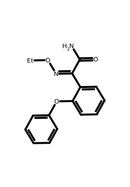 CCON=C(C(N)=O)c1ccccc1Oc1ccccc1